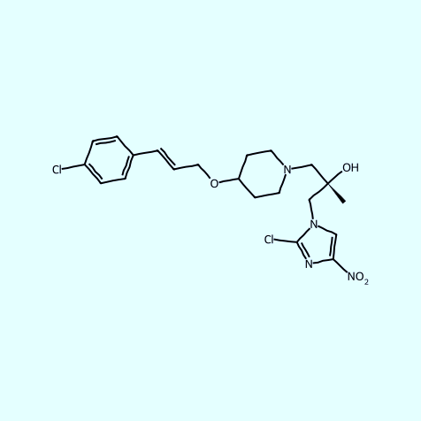 C[C@](O)(CN1CCC(OC/C=C/c2ccc(Cl)cc2)CC1)Cn1cc([N+](=O)[O-])nc1Cl